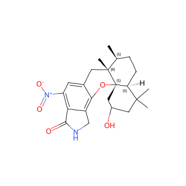 C[C@H]1CC[C@H]2C(C)(C)CC(O)C[C@]23Oc2c(cc([N+](=O)[O-])c4c2CNC4=O)C[C@]13C